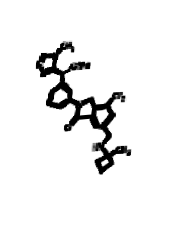 CO[C@H](c1cccc(N2Cc3c(cc(CNC4(C)CCC4)cc3C(F)(F)F)C2=O)c1)c1nncn1C